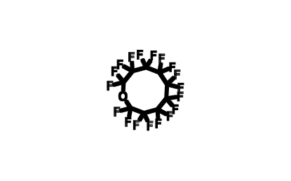 FC1(F)OC(F)(F)C(F)(F)C(F)(F)C(F)(F)C(F)(F)C(F)(F)C(F)(F)C1(F)F